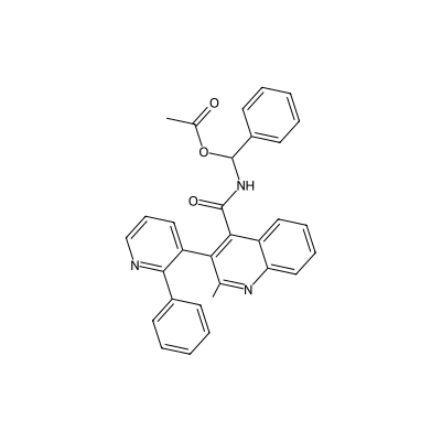 CC(=O)OC(NC(=O)c1c(-c2cccnc2-c2ccccc2)c(C)nc2ccccc12)c1ccccc1